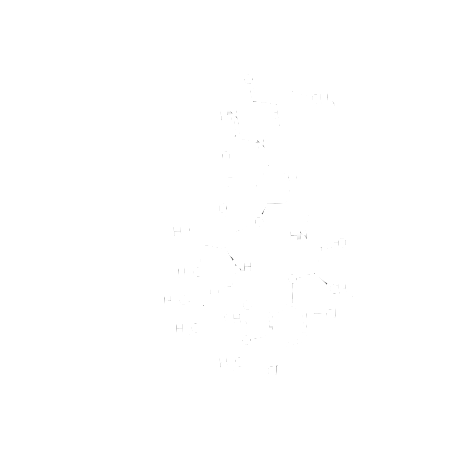 CCc1cn([C@@H]2O[C@H](CNC(=O)[C@@H](C)Oc3cc(OC)c(Cl)cc3Cl)[C@@H](OC(=O)[C@@H](NC(=O)OC(C)(C)C)C(C)C)[C@@H]2F)c(=O)[nH]c1=O